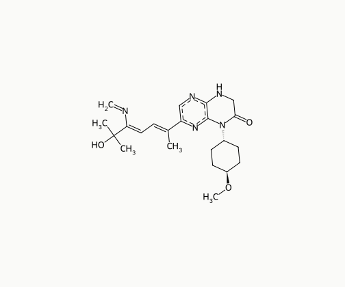 C=N/C(=C\C=C(/C)c1cnc2c(n1)N([C@H]1CC[C@H](OC)CC1)C(=O)CN2)C(C)(C)O